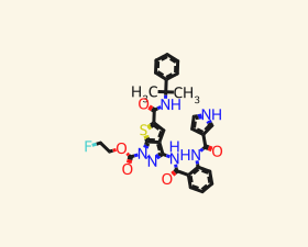 CC(C)(NC(=O)c1cc2c(NC(=O)c3ccccc3NC(=O)c3cc[nH]c3)nn(C(=O)OCCF)c2s1)c1ccccc1